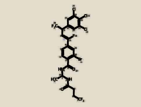 C[C@H](NC(=O)CCC(F)(F)F)NC(=O)c1ccc(/C(F)=C/C(c2cc(Cl)c(Cl)c(Cl)c2)C(F)(F)F)cc1Br